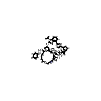 CC(C)n1c(O[C@@H]2C[C@H]3C(=O)N[C@]4(C(=O)NS(=O)(=O)C5(C)CC5)C[C@H]4/C=C\CCCCC[C@H](Nc4ccccc4)C(=O)N3C2)nc2c(-c3nc(C4CCCC4)cs3)cccc21